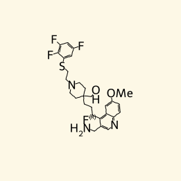 COc1ccc2ncc(CN)c([C@H](F)CCC3(CO)CCN(CCSc4cc(F)cc(F)c4F)CC3)c2c1